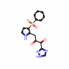 O=C(Cc1[nH]ccc1S(=O)(=O)c1ccccc1)C(=O)c1nc[nH]n1